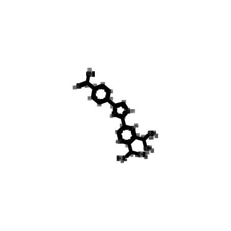 CC(C)c1ncc(-c2nc(-c3ccc(C(=O)O)cc3)cs2)nc1C(C)C